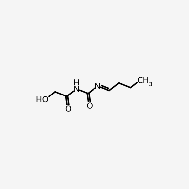 CCCC=NC(=O)NC(=O)CO